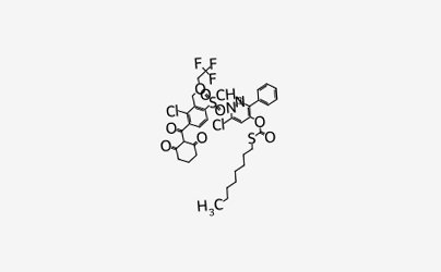 CCCCCCCCSC(=O)Oc1cc(Cl)nnc1-c1ccccc1.CS(=O)(=O)c1ccc(C(=O)C2C(=O)CCCC2=O)c(Cl)c1COCC(F)(F)F